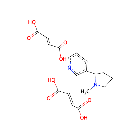 CN1CCCC1c1cccnc1.O=C(O)/C=C/C(=O)O.O=C(O)/C=C/C(=O)O